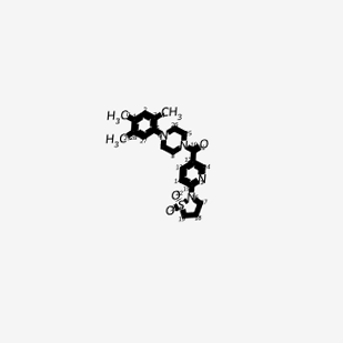 Cc1cc(C)c(N2CCN(C(=O)c3ccc(N4CCCS4(=O)=O)nc3)CC2)cc1C